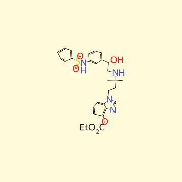 CCOC(=O)Oc1cccc2c1ncn2CCC(C)(C)NCC(O)c1cccc(NS(=O)(=O)c2ccccc2)c1